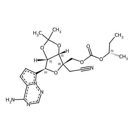 CC[C@H](C)OC(=O)OC[C@@]1(CC#N)O[C@@H](c2ccc3c(N)ncnn23)[C@@H]2OC(C)(C)O[C@@H]21